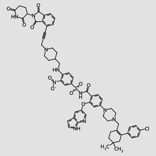 CC1(C)CCC(CN2CCN(c3ccc(C(=O)NS(=O)(=O)c4ccc(NCC5CCN(CC#Cc6cccc7c6C(=O)N(C6CCC(=O)NC6=O)C7=O)CC5)c([N+](=O)[O-])c4)c(Oc4cnc5[nH]ccc5c4)c3)CC2)=C(c2ccc(Cl)cc2)C1